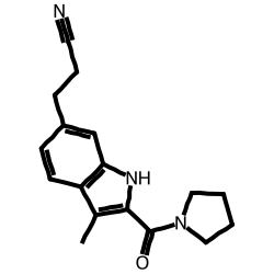 Cc1c(C(=O)N2CCCC2)[nH]c2cc(CCC#N)ccc12